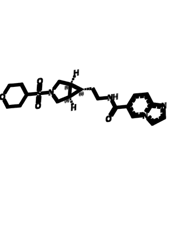 O=C(NCC[C@@H]1[C@H]2CN(S(=O)(=O)C3CCOCC3)C[C@@H]12)c1ccc2nccn2c1